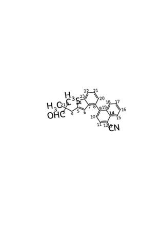 CC(C)(C=O)Cc1cc2c(-c3ccc(C#N)c4ccccc34)cccc2s1